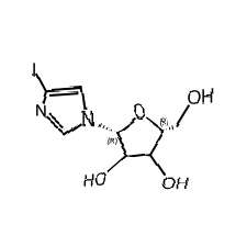 OC[C@H]1O[C@@H](n2cnc(I)c2)C(O)C1O